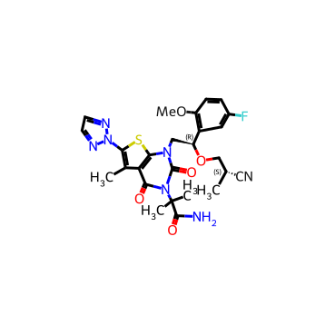 COc1ccc(F)cc1[C@H](Cn1c(=O)n(C(C)(C)C(N)=O)c(=O)c2c(C)c(-n3nccn3)sc21)OC[C@@H](C)C#N